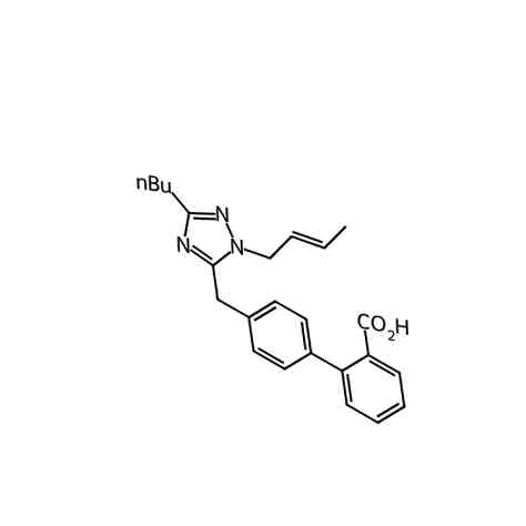 CC=CCn1nc(CCCC)nc1Cc1ccc(-c2ccccc2C(=O)O)cc1